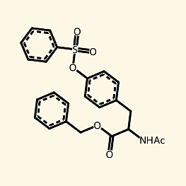 CC(=O)NC(Cc1ccc(OS(=O)(=O)c2ccccc2)cc1)C(=O)OCc1ccccc1